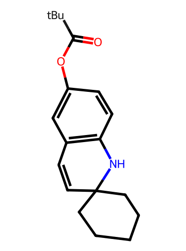 CC(C)(C)C(=O)Oc1ccc2c(c1)C=CC1(CCCCC1)N2